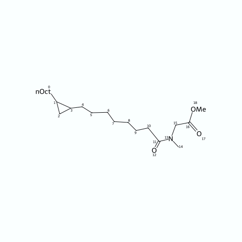 CCCCCCCCC1CC1CCCCCCCC(=O)N(C)CC(=O)OC